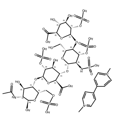 CC(=O)N[C@@H]1[C@@H](O)[C@H](O[C@@H]2O[C@H](C(=O)O)[C@@H](O[C@@H]3O[C@H](CO)[C@@H](O[C@H]4O[C@@H](C(=O)O)[C@H](O)[C@@H](O)[C@@H]4OS(=O)(=O)O)[C@H](OS(=O)(=O)O)[C@H]3NS(=O)(=O)O)[C@H](O)[C@H]2OS(=O)(=O)O)[C@H](COS(=O)(=O)O)O[C@H]1O.C[n+]1ccc(-c2cc[n+](C)cc2)cc1